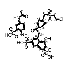 CC(=O)Nc1ccc(N)c(S(=O)(=O)O)c1.O=C(Nc1cc(S(=O)(=O)O)cc2cc(S(=O)(=O)O)cc(O)c12)c1ccc(CS(=O)(=O)CCCl)cc1